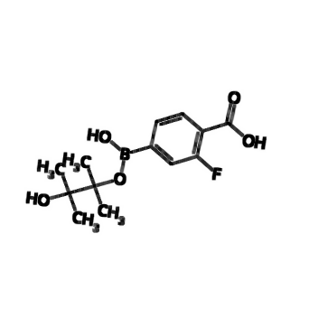 CC(C)(O)C(C)(C)OB(O)c1ccc(C(=O)O)c(F)c1